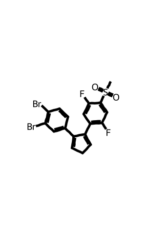 CS(=O)(=O)c1cc(F)c(C2=CCC=C2c2ccc(Br)c(Br)c2)cc1F